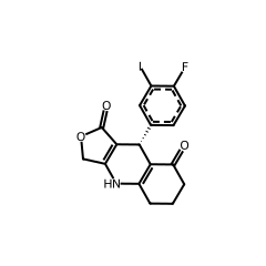 O=C1CCCC2=C1[C@@H](c1ccc(F)c(I)c1)C1=C(COC1=O)N2